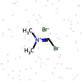 C[N+](C)=CBr.[Br-]